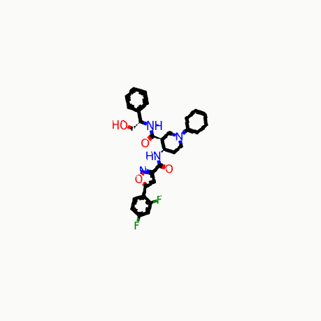 O=C(N[C@H]1CCN(C2CCCCC2)C[C@@H]1C(=O)N[C@H](CO)c1ccccc1)c1cc(-c2ccc(F)cc2F)on1